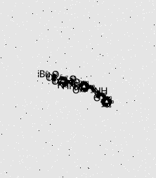 CC[C@@H](C)OC(=O)Oc1ccc(C(=O)NS(=O)(=O)c2ccc(CCNC(=O)Cc3ccccc3)cc2)cn1